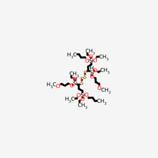 CCCCO[Si](CCC(SSSSC(CC[Si](OCC)(OCC)OCCCC)[SiH](OCC)OCCCOC)[SiH](OCC)OCCCOC)(OCC)OCC